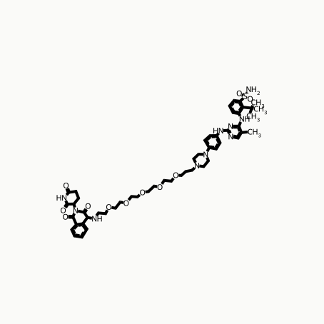 Cc1cnc(Nc2ccc(N3CCN(CCCOCCOCCOCCOCCOCCNC4C(=O)N(C5CCC(=O)NC5=O)C(=O)c5ccccc54)CC3)cc2)nc1Nc1cccc(S(N)(=O)=O)c1C(C)(C)C